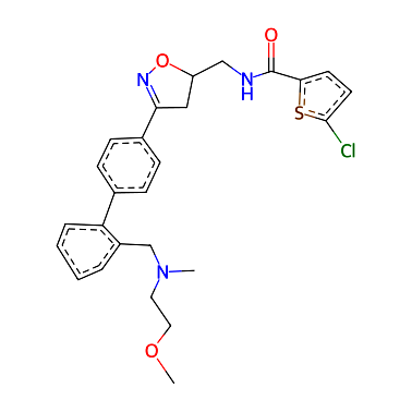 COCCN(C)Cc1ccccc1-c1ccc(C2=NOC(CNC(=O)c3ccc(Cl)s3)C2)cc1